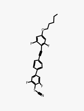 CCCCCOc1cc(F)c(C#Cc2ccc(-c3cc(F)c(SC#N)c(F)c3)cc2)c(F)c1